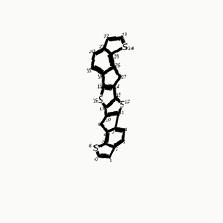 c1cc2ccc3c(c2s1)Cc1c-3sc2c3c(sc12)-c1ccc2ccsc2c1C3